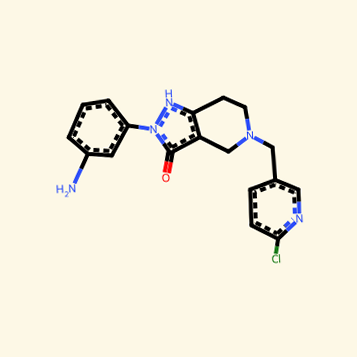 Nc1cccc(-n2[nH]c3c(c2=O)CN(Cc2ccc(Cl)nc2)CC3)c1